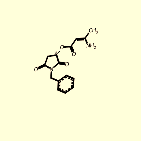 CC(N)=CC(=O)O[C@H]1CC(=O)N(Cc2ccccc2)C1=O